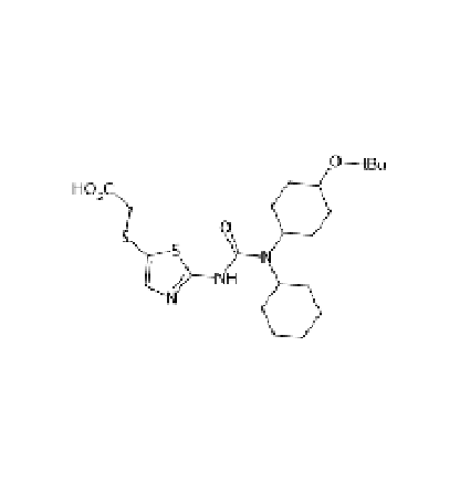 CC(C)(C)OC1CCC(N(C(=O)Nc2ncc(SCC(=O)O)s2)C2CCCCC2)CC1